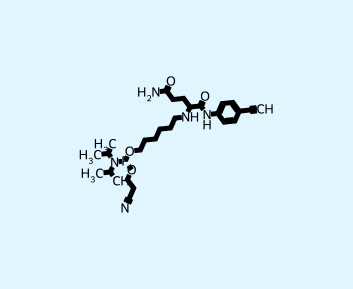 C#Cc1ccc(NC(=O)C(CCC(N)=O)NCCCCCCOP(OCCC#N)N(C(C)C)C(C)C)cc1